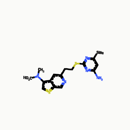 CSc1cc(N)nc(SCCc2cc3c(N(C)C(=O)O)csc3cn2)n1